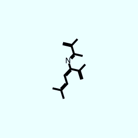 C=C(C)C(=C\C=C(C)C)/N=C(\C)C(=C)C